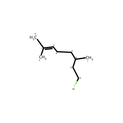 CC(C)=CCCC(C)CCF